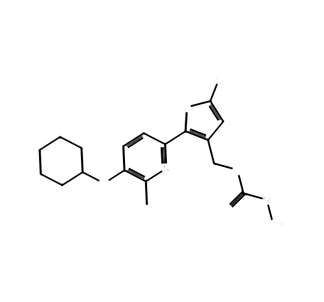 CCCNC(=O)OCc1cc(Cl)sc1-c1ccc(OC2CCCCC2)c(C)n1